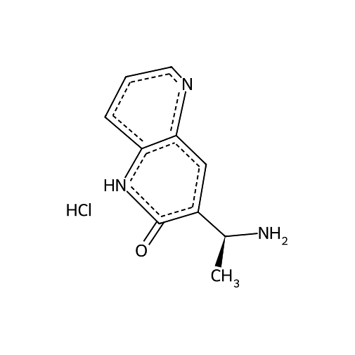 C[C@H](N)c1cc2ncccc2[nH]c1=O.Cl